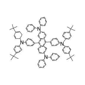 CC(C)(C)C1=CCC(N(c2ccc(-c3c4ccc(N(c5ccccc5)c5ccccc5)cc4c(-c4ccc(N(c5ccc(C(C)(C)C)cc5)c5ccc(C(C)(C)C)cc5)cc4)c4ccc(N(c5ccccc5)c5ccccc5)cc34)cc2)c2ccc(C(C)(C)C)cc2)C=C1